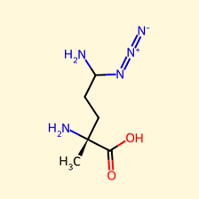 C[C@@](N)(CCC(N)N=[N+]=[N-])C(=O)O